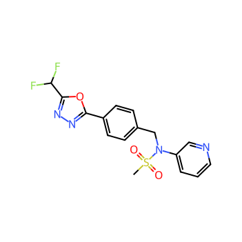 CS(=O)(=O)N(Cc1ccc(-c2nnc(C(F)F)o2)cc1)c1cccnc1